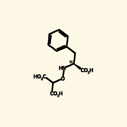 O=C(O)C(ON[C@@H](Cc1ccccc1)C(=O)O)C(=O)O